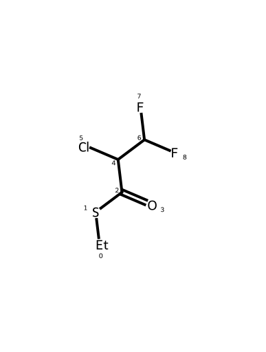 CCSC(=O)C(Cl)C(F)F